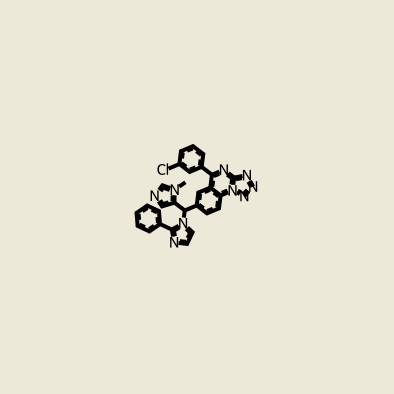 Cn1cncc1C(c1ccc2c(c1)c(-c1cccc(Cl)c1)nc1nnnn12)n1ccnc1-c1ccccc1